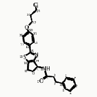 O=C(CCc1ccccc1)NC1CCc2sc(-c3ccc(OCCCCl)cc3)nc21